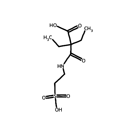 CCC(CC)(C(=O)O)C(=O)NCCS(=O)(=O)O